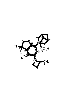 CC1CCN1c1nc(N2CC3CC(C2)C3CC(=O)O)c2c(c1C#N)C(F)(F)CC2